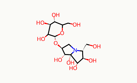 OCC1O[C@H](O[C@H]2CN3[C@H](CO)[C@@H](O)[C@H](O)[C@@]3(O)[C@@H]2O)C(O)[C@@H](O)[C@@H]1O